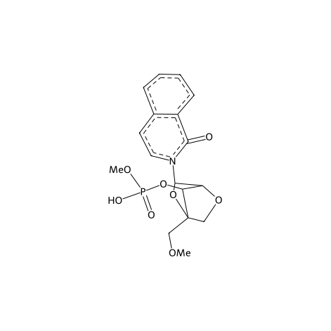 COCC12COC(C(n3ccc4ccccc4c3=O)O1)C2OP(=O)(O)OC